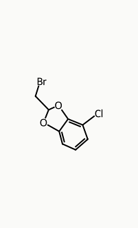 Clc1cccc2c1OC(CBr)O2